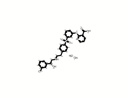 Cl.Cl.O=C(O)c1cccnc1Oc1cccc(S(=O)(=O)c2ccc(CCNC[C@@H](O)c3cccc(Cl)c3)cc2)c1